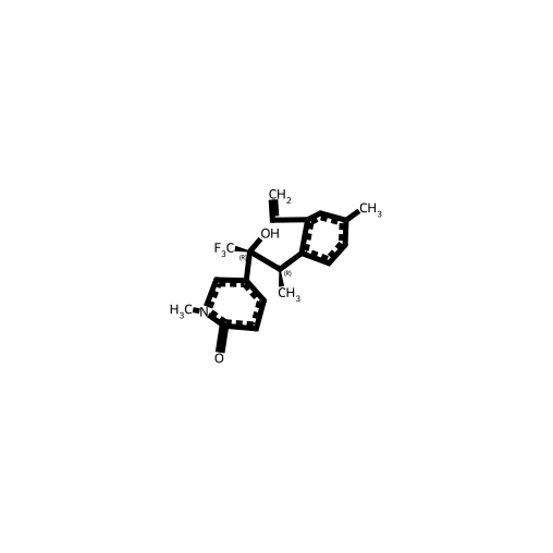 C=Cc1cc(C)ccc1[C@@H](C)[C@@](O)(c1ccc(=O)n(C)c1)C(F)(F)F